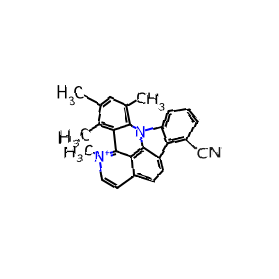 Cc1cc(C)c2c(c1C)c1c3c(ccc4c5c(C#N)cccc5n2c43)cc[n+]1C